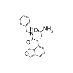 NC(=O)C[C@@H](C(=O)NCc1ccccc1)c1cccc2cocc12